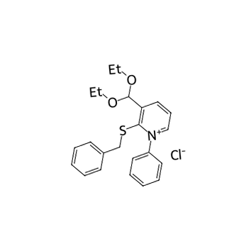 CCOC(OCC)c1ccc[n+](-c2ccccc2)c1SCc1ccccc1.[Cl-]